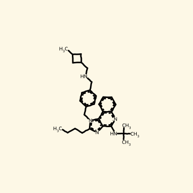 CCCCc1nc2c(NC(C)(C)C)nc3ccccc3c2n1Cc1ccc(CNCC2CC(C)C2)cc1